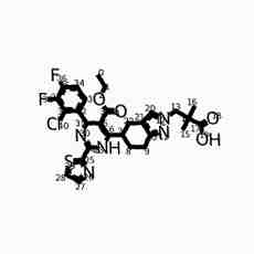 CCOC(=O)C1=C(C2CCc3nn(CC(C)(C)C(=O)O)cc3C2)NC(c2nccs2)=NC1c1ccc(F)c(F)c1Cl